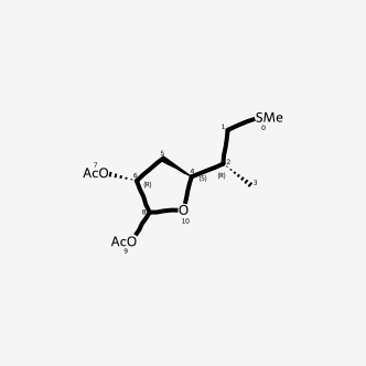 CSC[C@H](C)[C@@H]1C[C@@H](OC(C)=O)C(OC(C)=O)O1